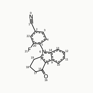 N#Cc1ccc(-n2c3c(c4ccccc42)C(=O)CCC3)c(F)c1